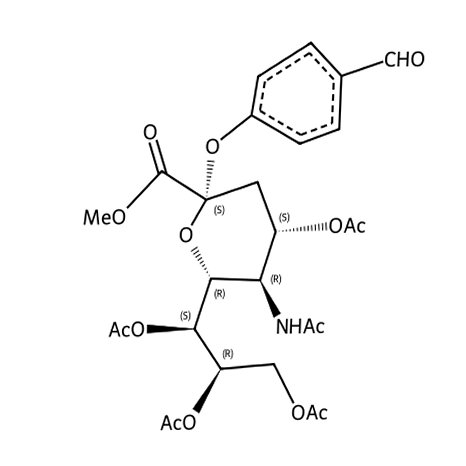 COC(=O)[C@@]1(Oc2ccc(C=O)cc2)C[C@H](OC(C)=O)[C@@H](NC(C)=O)[C@H]([C@H](OC(C)=O)[C@@H](COC(C)=O)OC(C)=O)O1